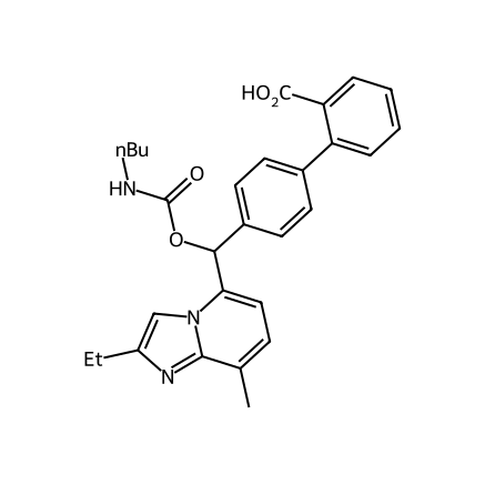 CCCCNC(=O)OC(c1ccc(-c2ccccc2C(=O)O)cc1)c1ccc(C)c2nc(CC)cn12